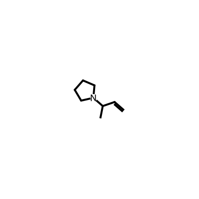 C=CC(C)N1CCCC1